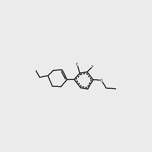 CCOc1ccc(C2=CCC(CC)CC2)c(F)c1F